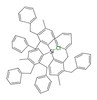 Cc1ccc([Si](Cl)(c2ccc(C)c(Cc3ccccc3)c2Cc2ccccc2)c2ccc(C)c(Cc3ccccc3)c2Cc2ccccc2)c(Cc2ccccc2)c1Cc1ccccc1